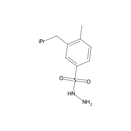 Cc1ccc(S(=O)(=O)NN)cc1CC(C)C